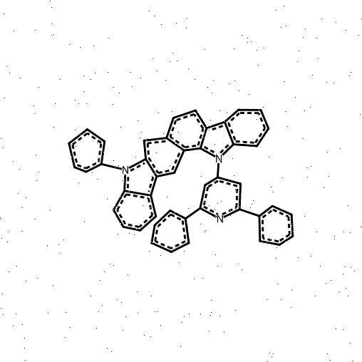 c1ccc(-c2cc(-n3c4ccccc4c4ccc5cc6c(cc5c43)c3ccccc3n6-c3ccccc3)cc(-c3ccccc3)n2)cc1